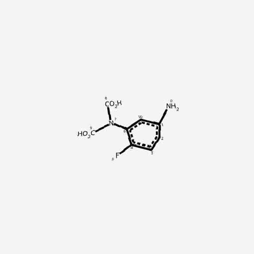 Nc1ccc(F)c(N(C(=O)O)C(=O)O)c1